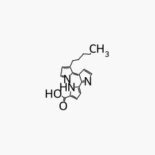 CCCCCC1=CC=NC1=C1C=CN=C1c1ccc(C(=O)O)[nH]1